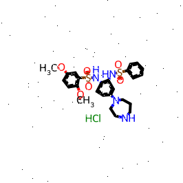 COc1ccc(OC)c(S(=O)(=O)Nc2ccc(N3CCCNCC3)cc2NS(=O)(=O)c2ccccc2)c1.Cl